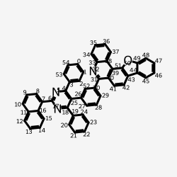 c1ccc(-c2nc(-c3cccc4ccccc34)nc(-c3ccccc3)c2-c2cccc(-c3nc4ccccc4c4c3ccc3c5ccccc5oc34)c2)cc1